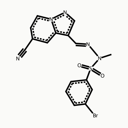 CN(N=Cc1cnn2ccc(C#N)cc12)S(=O)(=O)c1cccc(Br)c1